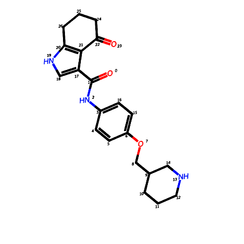 O=C(Nc1ccc(OCC2CCCNC2)cc1)c1c[nH]c2c1C(=O)CCC2